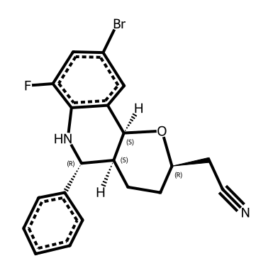 N#CC[C@H]1CC[C@@H]2[C@H](O1)c1cc(Br)cc(F)c1N[C@H]2c1ccccc1